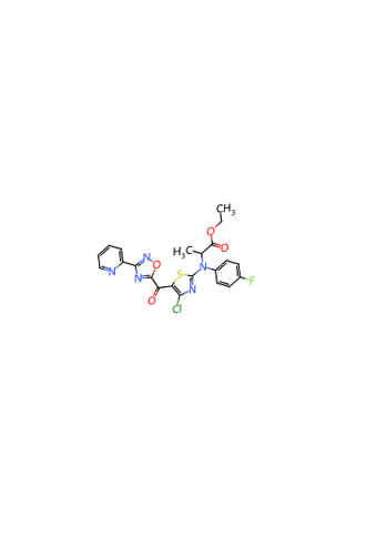 CCOC(=O)C(C)N(c1ccc(F)cc1)c1nc(Cl)c(C(=O)c2nc(-c3ccccn3)no2)s1